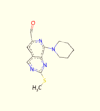 CSc1ncc2cc(C=O)nc(N3CCCCC3)c2n1